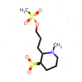 CN1CCCC(=S(=O)=O)C1CCCOS(C)(=O)=O